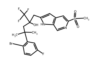 CC(C)(CC(O)(Cc1cc2cc(S(C)(=O)=O)ncc2[nH]1)C(F)(F)F)c1cc(F)ccc1Br